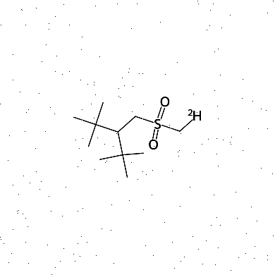 [2H]CS(=O)(=O)CC(C(C)(C)C)C(C)(C)C